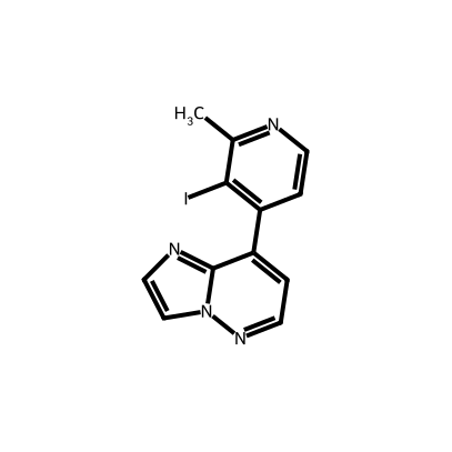 Cc1nccc(-c2ccnn3ccnc23)c1I